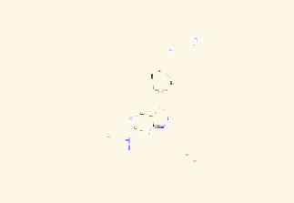 C[C@H](CC(F)F)Nc1ncc2c(-c3ccc(CN4CCNCC4)cc3)cn([C@H]3CC[C@H](O)CC3)c2n1